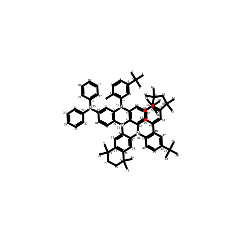 Cc1ccc(C(C)(C)C)cc1N1c2cc(N(c3ccccc3)c3ccccc3)ccc2B2c3cc4c(cc3N(c3ccc(C(C)(C)C)cc3-c3ccc5c(c3)C(C)(C)CC5(C)C)c3cc(C(C)(C)C)cc1c32)C(C)(C)CCC4(C)C